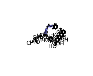 CC1=C(/C=C/C(C)=C\C=C\C(C)=C\C(=O)O)C(C)(C)CCC1.COc1cccc2c1C(=O)c1c(O)c3c(c(O)c1C2=O)C[C@@](O)(C(=O)CO)C[C@@H]3O[C@H]1C[C@H](N)[C@H](O)[C@H](C)O1.O=NN(CCCl)C(=O)NCCCl